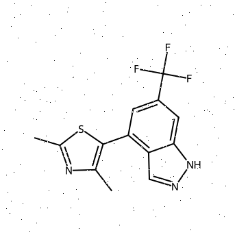 Cc1nc(C)c(-c2cc(C(F)(F)F)cc3[nH]ncc23)s1